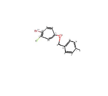 Cc1ccc(COc2ccc(Br)c(F)c2)cc1